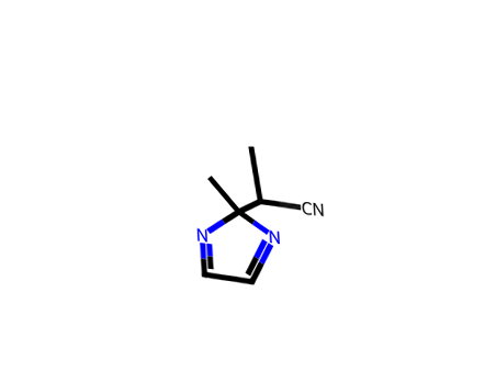 CC(C#N)C1(C)N=CC=N1